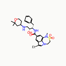 CCc1cn2c3c(cc(C(=O)N[C@@H](Cc4ccccc4)[C@H](O)CNC4CCOC(C)(C)C4)cc13)N(C)S(=O)(=O)CC2